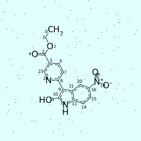 CCOC(=O)c1ccc(-c2c(O)[nH]c3ccc([N+](=O)[O-])cc23)nc1